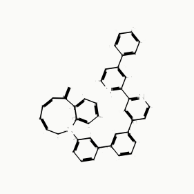 C=C1/C=C\C=C/CN(c2cccc(-c3cccc(-c4ccnc(-c5cc(-c6ccccc6)ccn5)c4)c3)c2)c2ccccc21